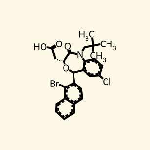 CC(C)(C)CN1C(=O)[C@@H](CC(=O)O)O[C@H](c2ccc3ccccc3c2Br)c2cc(Cl)ccc21